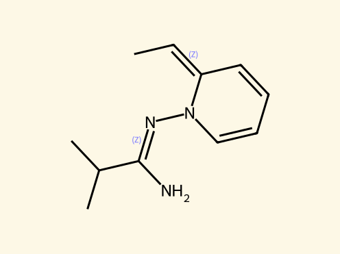 C/C=C1/C=CC=CN1/N=C(\N)C(C)C